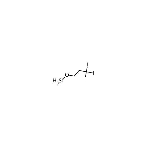 [SiH3]OCCC(I)(I)I